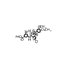 CCOc1ccc(N(C)S(=O)(=O)c2cc(Cl)sc2C(=O)Nc2cc(Br)cc(C(=O)O)c2)cc1OC